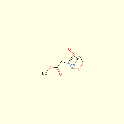 COC(=O)CN1C(=O)C2C=CC1OC2